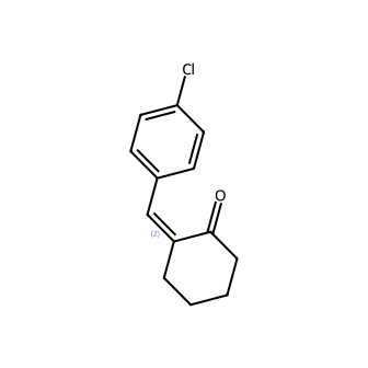 O=C1CCCC/C1=C/c1ccc(Cl)cc1